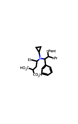 CCCCCC(CCC)C(c1ccccc1)N(C1CC1)C(CC)CC(C(=O)O)C(=O)O